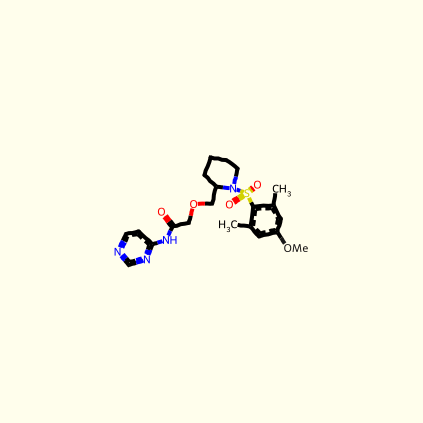 COc1cc(C)c(S(=O)(=O)N2CCCCC2COCC(=O)Nc2ccncn2)c(C)c1